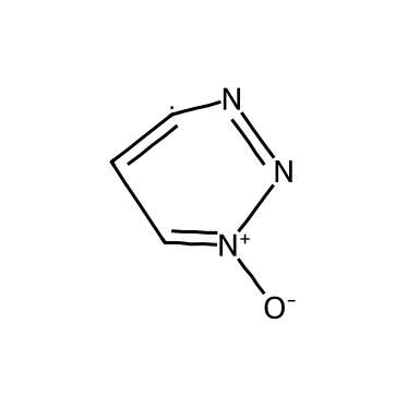 [O-][n+]1cc[c]nn1